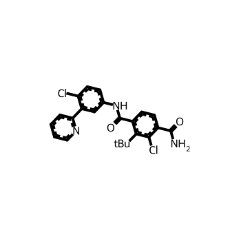 CC(C)(C)c1c(C(=O)Nc2ccc(Cl)c(-c3ccccn3)c2)ccc(C(N)=O)c1Cl